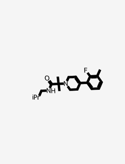 Cc1cccc(C2=CCN(C(C)(C)C(=O)NCC(C)C)CC2)c1F